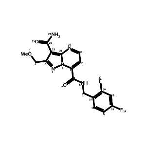 COCc1nn2c(C(=O)NCc3ccc(F)cc3F)ccnc2c1C(N)=O